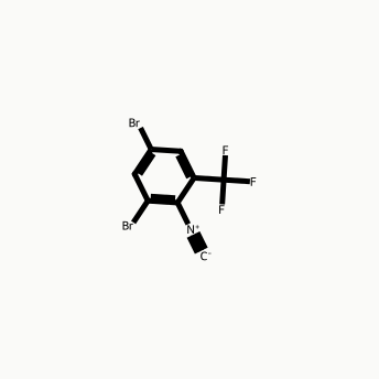 [C-]#[N+]c1c(Br)cc(Br)cc1C(F)(F)F